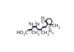 [3H]C(/C=C(C)\C=C\C1=C(C)CCCC1(C)C)=C([3H])/C(C)=C/C(=O)O